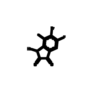 CCN1C(=O)C(=O)c2cc(F)c(Br)c(C)c21